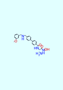 COc1cccc(CNCc2ccc(-c3ccc(C(=O)N[C@@H](CN)C(=O)NO)cc3)cc2)c1